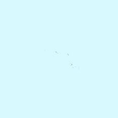 CC(C)=CCC/C(C)=C/CC/C(C)=C\COPP